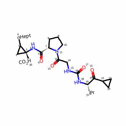 CCCCCCCC1C[C@]1(NC(=O)[C@@H]1CCCN1C(=O)CNC(=O)N[C@H](C(=O)C1CC1)C(C)C)C(=O)O